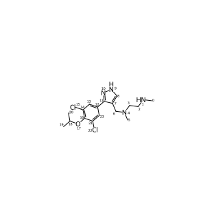 CNCCN(C)Cc1c[nH]nc1-c1cc(Cl)c(OC(C)C)c(Cl)c1